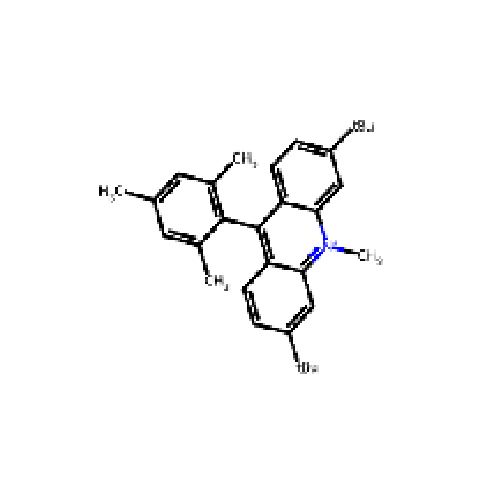 Cc1cc(C)c(-c2c3ccc(C(C)(C)C)cc3[n+](C)c3cc(C(C)(C)C)ccc23)c(C)c1